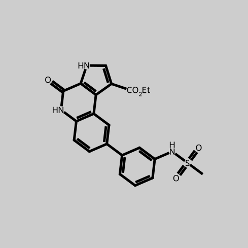 CCOC(=O)c1c[nH]c2c(=O)[nH]c3ccc(-c4cccc(NS(C)(=O)=O)c4)cc3c12